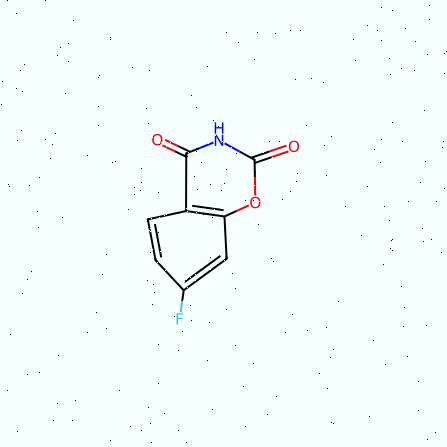 O=c1[nH]c(=O)c2ccc(F)cc2o1